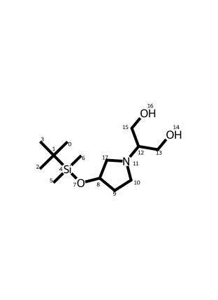 CC(C)(C)[Si](C)(C)OC1CCN(C(CO)CO)C1